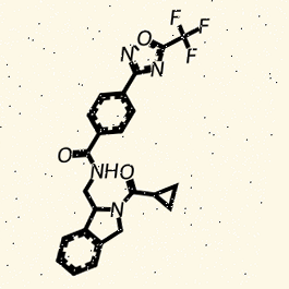 O=C(NCC1c2ccccc2CN1C(=O)C1CC1)c1ccc(-c2noc(C(F)(F)F)n2)cc1